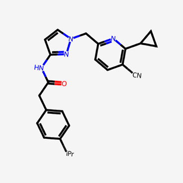 CC(C)c1ccc(CC(=O)Nc2ccn(Cc3ccc(C#N)c(C4CC4)n3)n2)cc1